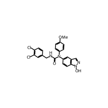 COc1ccc(N(C(=O)NCc2ccc(Cl)c(Cl)c2)c2ccc3c(cnn3O)c2)cc1